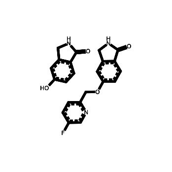 O=C1NCc2cc(O)ccc21.O=C1NCc2cc(OCc3ccc(F)cn3)ccc21